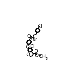 CCOC(=O)C1CCOc2cc(Oc3ccc(C(=O)N(Br)CCc4ccc(Cl)cc4)cc3)c(Cl)cc21